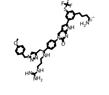 COc1ccc(Cn2cc(C[C@H](NCCCNC(=N)N)c3ccc(-n4cc5cc(-c6cc(CCC[C@H](C)N)cc(SC(F)(F)F)c6)[nH]c5nc4=O)cc3)nn2)cc1